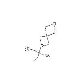 CCC(C)(CC)N1CC2(COC2)C1